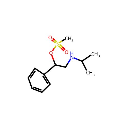 CC(C)NCC(OS(C)(=O)=O)c1ccccc1